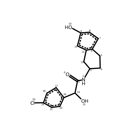 O=C(NC1CCc2ccc(O)cc2C1)C(O)c1ccc(Cl)cc1